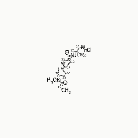 CCC(=O)N(C)c1ccc(-c2ccc(C(=O)NCc3ccc(Cl)nc3)cn2)cc1